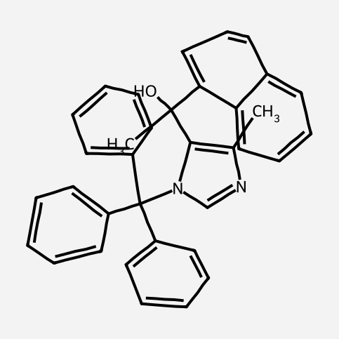 Cc1ncn(C(c2ccccc2)(c2ccccc2)c2ccccc2)c1C(C)(O)c1cccc2ccccc12